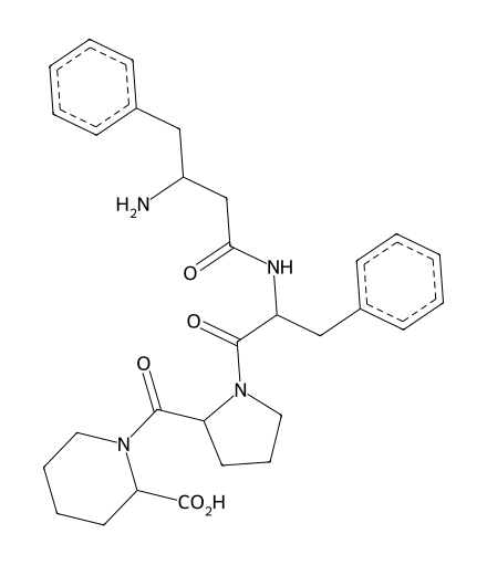 NC(CC(=O)NC(Cc1ccccc1)C(=O)N1CCCC1C(=O)N1CCCCC1C(=O)O)Cc1ccccc1